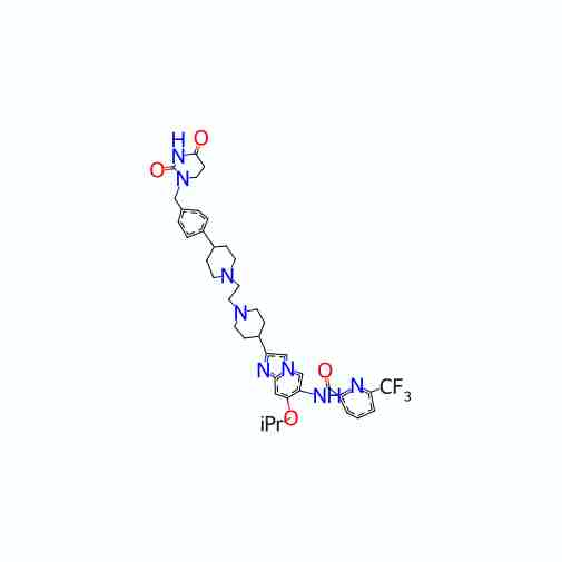 CC(C)Oc1cc2nc(C3CCN(CCN4CCC(c5ccc(CN6CCC(=O)NC6=O)cc5)CC4)CC3)cn2cc1NC(=O)c1cccc(C(F)(F)F)n1